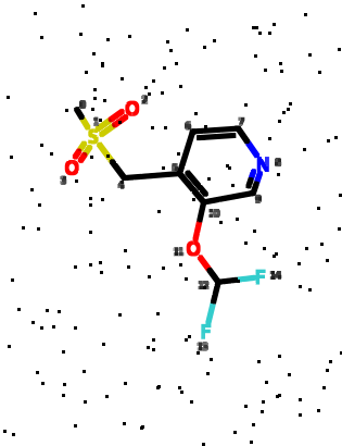 CS(=O)(=O)Cc1ccncc1OC(F)F